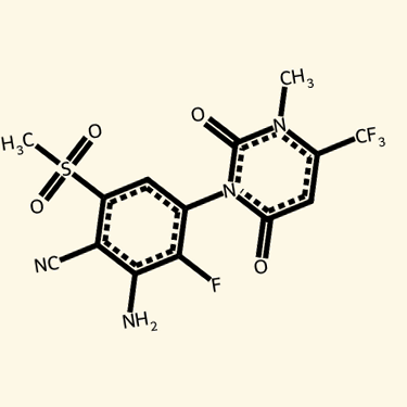 Cn1c(C(F)(F)F)cc(=O)n(-c2cc(S(C)(=O)=O)c(C#N)c(N)c2F)c1=O